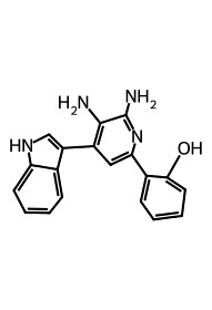 Nc1nc(-c2ccccc2O)cc(-c2c[nH]c3ccccc23)c1N